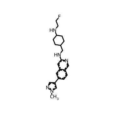 Cn1cc(-c2ccc3cnc(NCC4CCC(NCCF)CC4)cc3c2)cn1